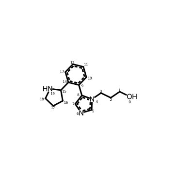 OCCCn1cncc1-c1ccccc1C1CCCN1